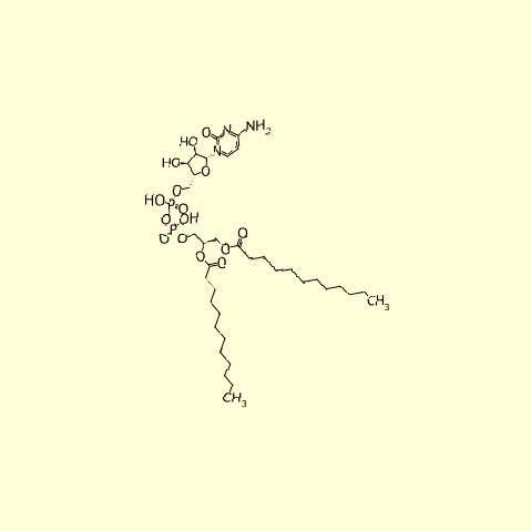 CCCCCCCCCCCC(=O)OC[C@H](COP(=O)(O)OP(=O)(O)OC[C@H]1O[C@@H](n2ccc(N)nc2=O)[C@H](O)[C@@H]1O)OC(=O)CCCCCCCCCCC